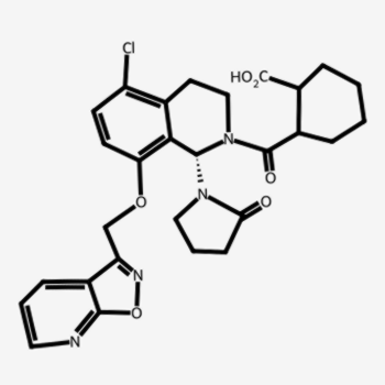 O=C(O)C1CCCCC1C(=O)N1CCc2c(Cl)ccc(OCc3noc4ncccc34)c2[C@H]1N1CCCC1=O